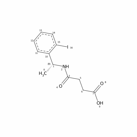 C[C@@H](NC(=O)CCC(=O)O)c1ccccc1I